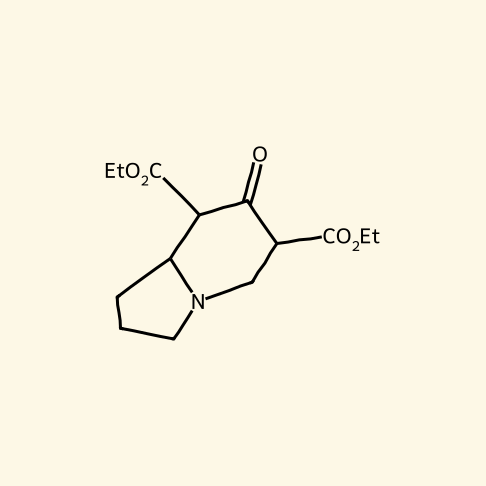 CCOC(=O)C1CN2CCCC2C(C(=O)OCC)C1=O